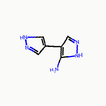 Nc1[nH]ncc1-c1cn[nH]c1